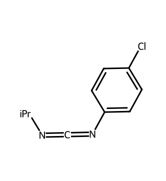 CC(C)N=C=Nc1ccc(Cl)cc1